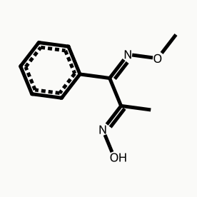 CON=C(C(C)=NO)c1ccccc1